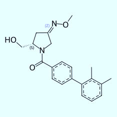 CO/N=C1/C[C@@H](CO)N(C(=O)c2ccc(-c3cccc(C)c3C)cc2)C1